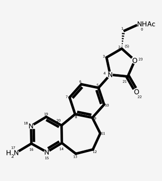 CC(=O)NC[C@H]1CN(c2ccc3c(c2)CCCc2nc(N)ncc2-3)C(=O)O1